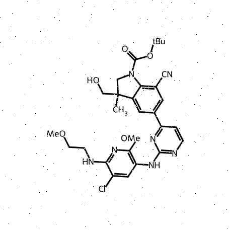 COCCNc1nc(OC)c(Nc2nccc(-c3cc(C#N)c4c(c3)C(C)(CO)CN4C(=O)OC(C)(C)C)n2)cc1Cl